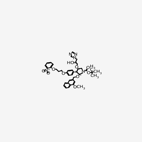 COc1cc(CO[C@H]2CN(C(=O)OC(C)(C)C)C[C@@H](OC[C@@H](O)Cn3cncn3)[C@@H]2c2ccc(OCCCOc3ccccc3[N+](=O)[O-])cc2)cc2ccccc12